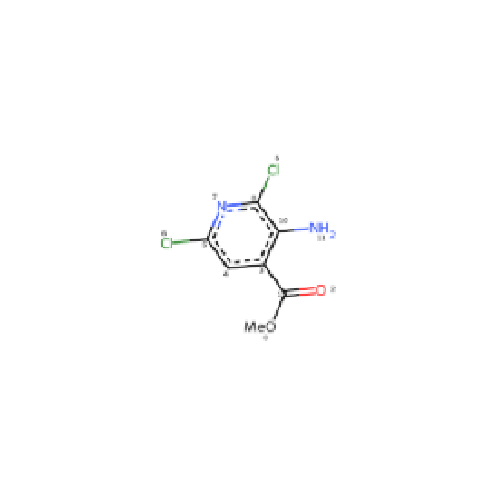 COC(=O)c1cc(Cl)nc(Cl)c1N